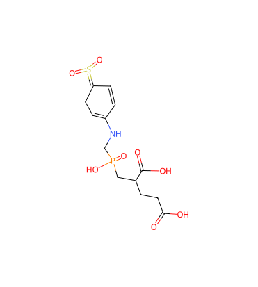 O=C(O)CCC(CP(=O)(O)CNC1=CCC(=S(=O)=O)C=C1)C(=O)O